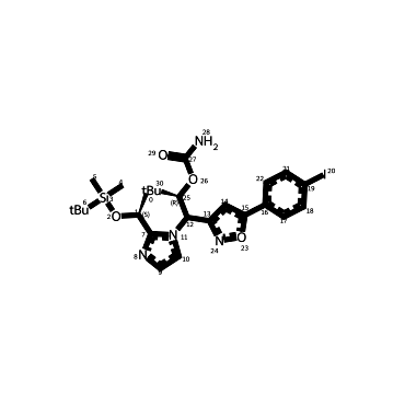 C[C@H](O[Si](C)(C)C(C)(C)C)c1nccn1C(c1cc(-c2ccc(I)cc2)on1)[C@H](OC(N)=O)C(C)(C)C